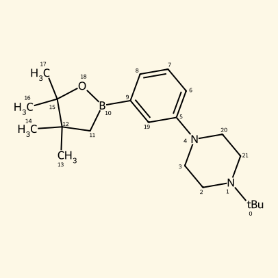 CC(C)(C)N1CCN(c2cccc(B3CC(C)(C)C(C)(C)O3)c2)CC1